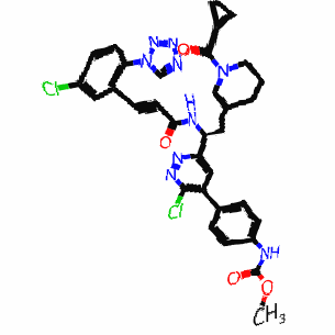 COC(=O)Nc1ccc(-c2cc([C@H](CC3CCCN(C(=O)C4CC4)C3)NC(=O)C=Cc3cc(Cl)ccc3-n3cnnn3)nnc2Cl)cc1